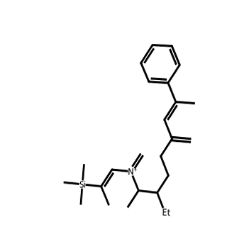 C=C(/C=C(\C)c1ccccc1)CCC(CC)C(C)[N+](=C)/C=C(\C)[Si](C)(C)C